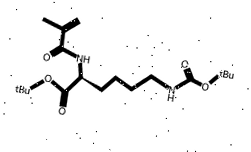 C=C(C)C(=O)N[C@@H](CCCCNC(=O)OC(C)(C)C)C(=O)OC(C)(C)C